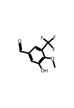 COc1c(O)cc(C=O)cc1C(F)(F)F